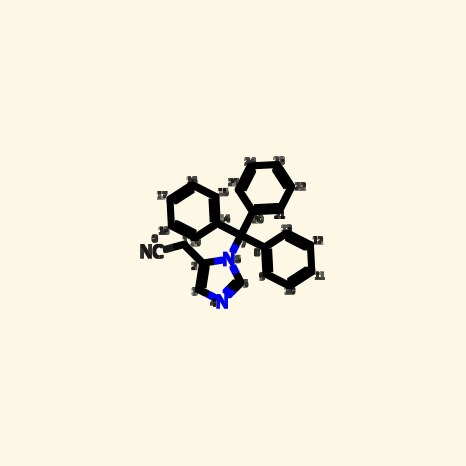 N#CCc1cncn1C(c1ccccc1)(c1ccccc1)c1ccccc1